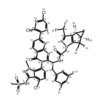 Cn1nc(NS(C)(=O)=O)c2c(Cl)ccc(-n3c([C@H](Cc4cc(F)cc(F)c4)NC(=O)Cn4nc(C(F)F)c5c4C(F)(F)[C@@H]4C[C@H]54)nc4nc(-c5ncc(Cl)nc5Cl)ccc4c3=O)c21